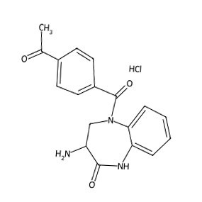 CC(=O)c1ccc(C(=O)N2CC(N)C(=O)Nc3ccccc32)cc1.Cl